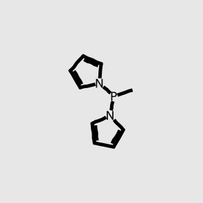 CP(n1cccc1)n1cccc1